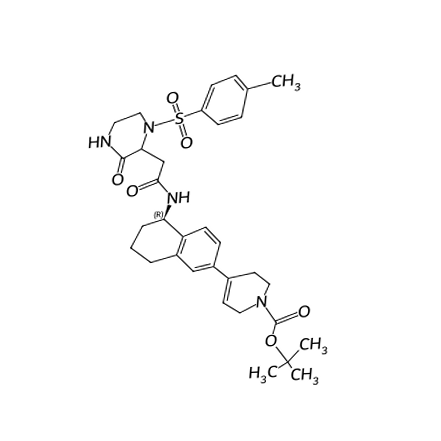 Cc1ccc(S(=O)(=O)N2CCNC(=O)C2CC(=O)N[C@@H]2CCCc3cc(C4=CCN(C(=O)OC(C)(C)C)CC4)ccc32)cc1